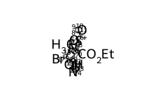 CCOC(=O)c1c(C[S+]([O-])Cc2ccco2)n(C)c2cc(Br)c(O)c(Cn3ccnc3)c12